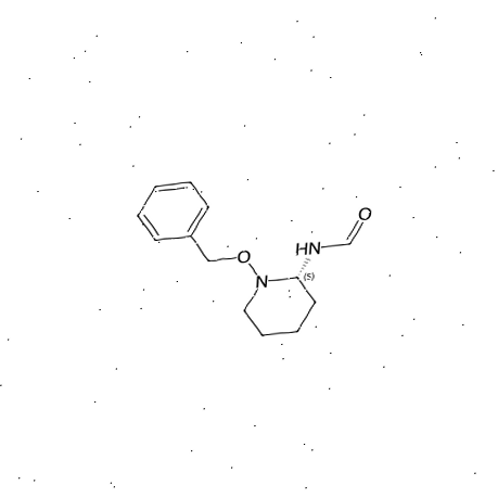 O=CN[C@@H]1CCCCN1OCc1ccccc1